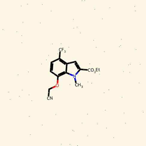 CCOC(=O)c1cc2c(C(F)(F)F)ccc(OCC#N)c2n1C